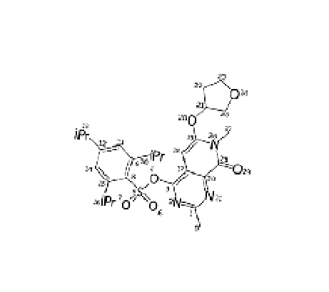 Cc1nc(OS(=O)(=O)c2c(C(C)C)cc(C(C)C)cc2C(C)C)c2cc(OC3CCOC3)n(C)c(=O)c2n1